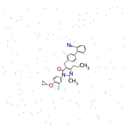 CCCc1nc(C)n(-c2ccc(OC3CC3)c(F)c2)c(=O)c1Cc1ccc(-c2ccccc2C#N)cc1